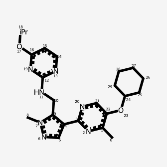 Cc1nc(-c2cnn(C)c2CNc2nccc(OC(C)C)n2)ncc1OC1CCCCC1